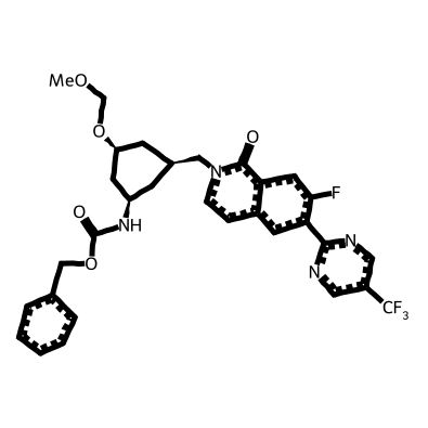 COCO[C@H]1C[C@@H](Cn2ccc3cc(-c4ncc(C(F)(F)F)cn4)c(F)cc3c2=O)C[C@@H](NC(=O)OCc2ccccc2)C1